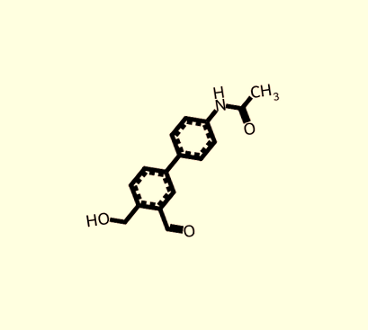 CC(=O)Nc1ccc(-c2ccc(CO)c(C=O)c2)cc1